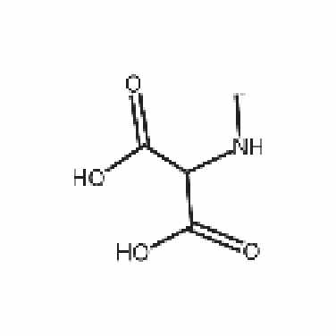 [CH2]NC(C(=O)O)C(=O)O